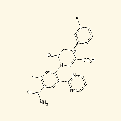 Cc1cc(N2C=C(C(=O)O)[C@H](c3cccc(F)c3)CC2=O)c(-c2ncccn2)cc1C(N)=O